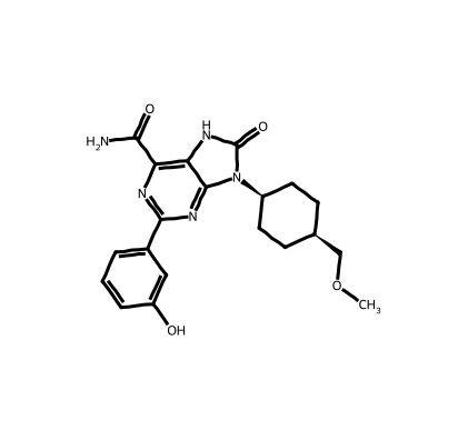 COC[C@H]1CC[C@@H](n2c(=O)[nH]c3c(C(N)=O)nc(-c4cccc(O)c4)nc32)CC1